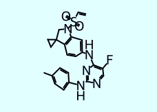 C=CS(=O)(=O)N1CC2(CC2)c2ccc(Nc3nc(Nc4ccc(C)cc4)ncc3F)cc21